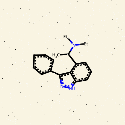 CCN(CC)C(C)c1cccc2[nH]nc(-c3ccccc3)c12